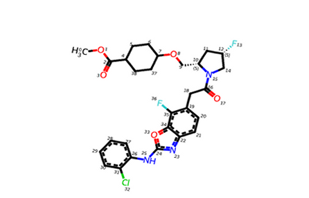 COC(=O)C1CCC(OC[C@@H]2C[C@H](F)CN2C(=O)Cc2ccc3nc(Nc4ccccc4Cl)oc3c2F)CC1